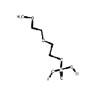 COCCOCCOP(=O)(OF)OCl